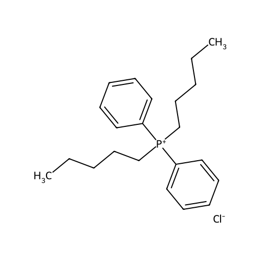 CCCCC[P+](CCCCC)(c1ccccc1)c1ccccc1.[Cl-]